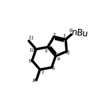 CCCCC1=CC2=C([CH]1)CC(C)CC2C